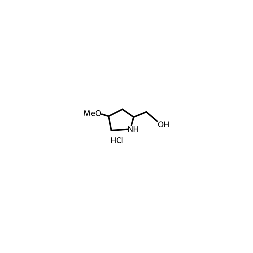 COC1CNC(CO)C1.Cl